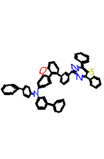 c1ccc(-c2ccc(N(c3cccc(-c4ccccc4)c3)c3ccc4c(c3)oc3cccc(-c5cccc(-c6nc(-c7ccccc7)c7sc8ccccc8c7n6)c5)c34)cc2)cc1